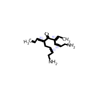 C=C/C=C(\C/C=C\CN)C(=O)C(/C=C\CN)=C/C